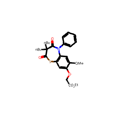 CCCCC1(CCCC)C(=O)Sc2cc(OCC(=O)OCC)c(OC)cc2N(c2ccccc2)C1=O